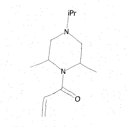 C=CC(=O)N1C(C)CN(C(C)C)CC1C